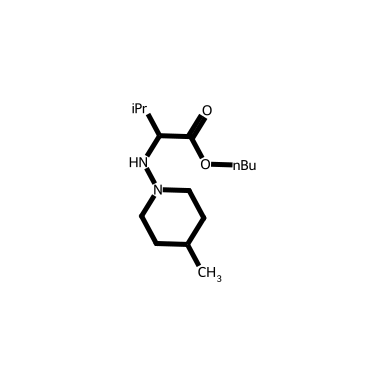 CCCCOC(=O)C(NN1CCC(C)CC1)C(C)C